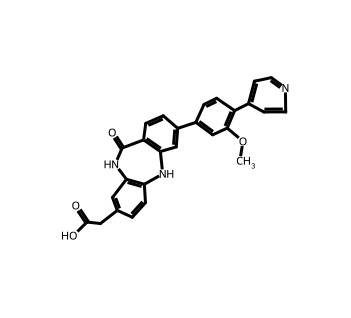 COc1cc(-c2ccc3c(c2)Nc2ccc(CC(=O)O)cc2NC3=O)ccc1-c1ccncc1